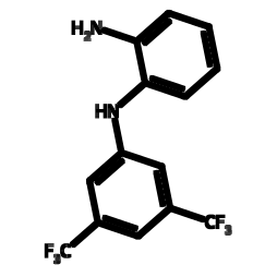 Nc1ccccc1Nc1cc(C(F)(F)F)cc(C(F)(F)F)c1